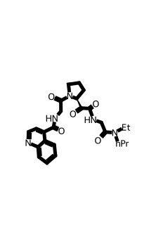 CCCN(CC)C(=O)CNC(=O)C(=O)[C@@H]1CCCN1C(=O)CNC(=O)c1ccnc2ccccc12